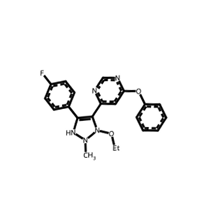 CCON1C(c2cc(Oc3ccccc3)ncn2)=C(c2ccc(F)cc2)NN1C